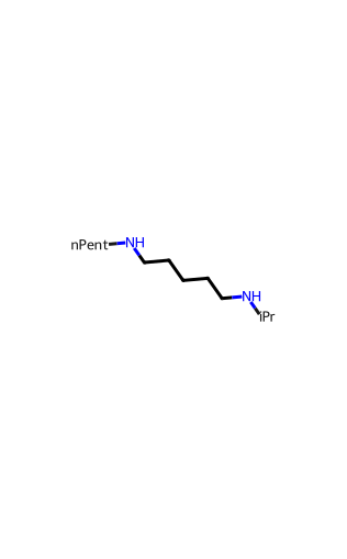 CCCCCNCCCCCNC(C)C